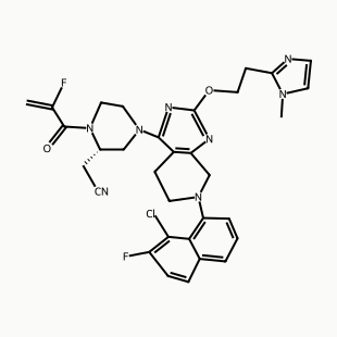 C=C(F)C(=O)N1CCN(c2nc(OCCc3nccn3C)nc3c2CCN(c2cccc4ccc(F)c(Cl)c24)C3)C[C@@H]1CC#N